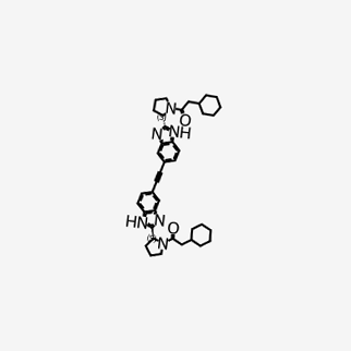 O=C(CC1CCCCC1)N1CCC[C@H]1c1nc2cc(C#Cc3ccc4[nH]c([C@@H]5CCCN5C(=O)CC5CCCCC5)nc4c3)ccc2[nH]1